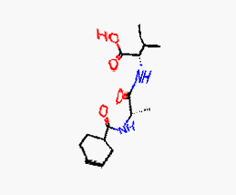 CC(C)[C@H](NC(=O)[C@H](C)NC(=O)C1CCCCC1)C(=O)O